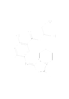 CSCC(C)OC(=O)c1cc(/N=c2/sc(=O)n3n2CCCC3)c(F)cc1Cl